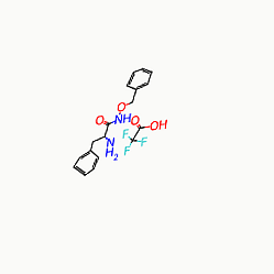 N[C@@H](Cc1ccccc1)C(=O)NOCc1ccccc1.O=C(O)C(F)(F)F